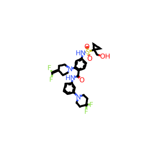 O=C(Nc1cccc(N2CCC(F)(F)CC2)c1)c1ccc(NS(=O)(=O)C2(CO)CC2)cc1N1CCC(=C(F)F)CC1